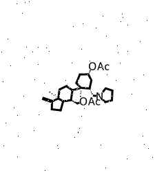 C=C1CCC2[C@H](COC(C)=O)C([C@@]3(C)CC[C@H](OC(C)=O)C[C@@H]3CN3CCCC3)CC[C@]12C